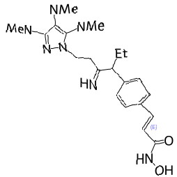 CCC(C(=N)CCn1nc(NC)c(NC)c1NC)c1ccc(/C=C/C(=O)NO)cc1